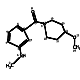 CNc1cccc(C(=O)N2CCC(OC)CC2)c1